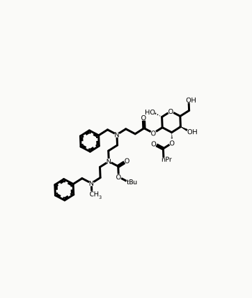 CCCC(=O)O[C@@H]1C(OC(=O)CCN(CCN(CCN(C)Cc2ccccc2)C(=O)OC(C)(C)C)Cc2ccccc2)[C@H](O)OC(CO)[C@H]1O